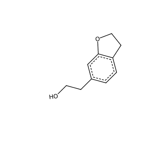 OCCc1ccc2c(c1)OCC2